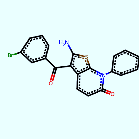 Nc1sc2c(ccc(=O)n2-c2ccccc2)c1C(=O)c1cccc(Br)c1